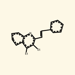 CCc1c(C=Cc2ccccc2)nc2ccccc2c1CC